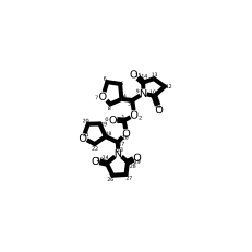 O=C(OC(C1CCOC1)N1C(=O)CCC1=O)OC(C1CCOC1)N1C(=O)CCC1=O